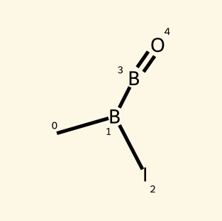 CB(I)B=O